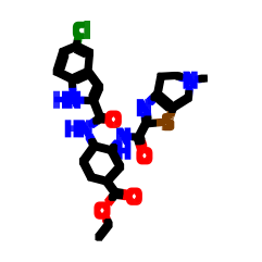 CCOC(=O)C1CCC(NC(=O)c2cc3cc(Cl)ccc3[nH]2)C(NC(=O)c2nc3c(s2)CN(C)CC3)C1